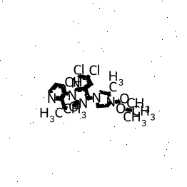 Cc1ccnc(C(C)C)c1-n1c(=O)nc(N2CCN(C(=O)OC(C)(C)C)[C@H](C)C2)c2cc(Cl)c(Cl)nc21